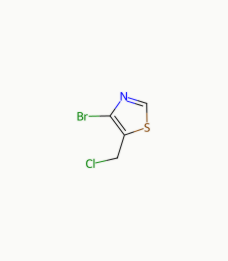 ClCc1scnc1Br